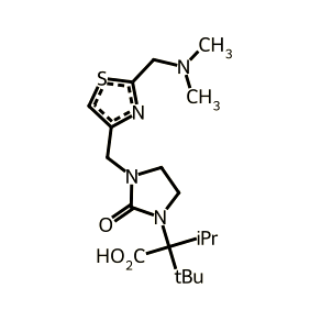 CC(C)C(C(=O)O)(N1CCN(Cc2csc(CN(C)C)n2)C1=O)C(C)(C)C